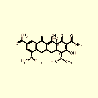 CC(=O)c1cc2c(c(N(C)C)c1)CC1CC3[C@H](N(C)C)C(O)=C(C(N)=O)C(=O)[C@@]3(O)C(O)=C1C2=O